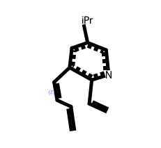 C=C/C=C\c1cc(C(C)C)cnc1C=C